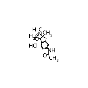 CC(=O)Nc1ccc2c(c1)CC(C)(N(C)C)C2=O.Cl